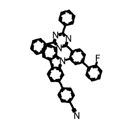 N#Cc1ccc(-c2ccc3c4ccccc4n(-c4cc(-c5ccccc5F)ccc4-c4nc(-c5ccccc5)nc(-c5ccccc5)n4)c3c2)cc1